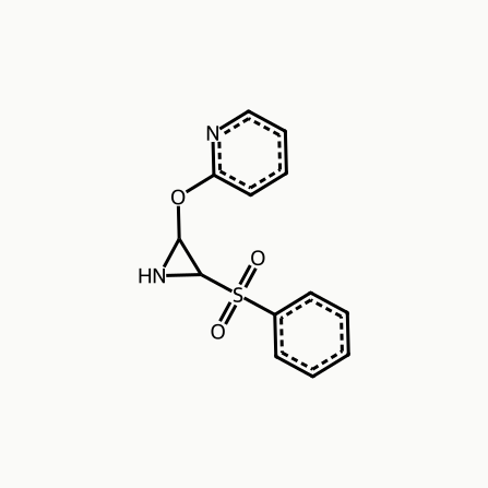 O=S(=O)(c1ccccc1)C1NC1Oc1ccccn1